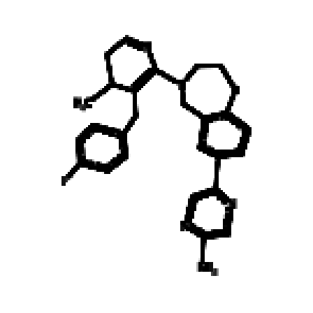 CC1CC=NC(N2CCOc3ccc(-c4cnc(N)cn4)cc3C2)=C1Cc1ccc(F)cc1